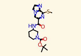 CSc1nc(C(=O)NC2CCCN(C(=O)OC(C)(C)C)C2)cn2ccnc12